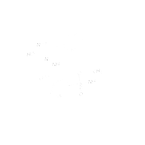 CNS(=O)(=O)c1cccc(C(=O)N/N=C(/C=N\O)c2ccccc2)c1